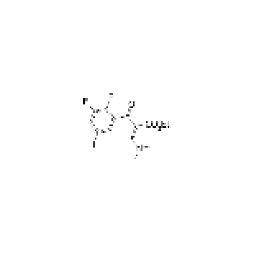 CCOC(=O)C(=CN(C)C)C(=O)c1cc(I)cc(F)c1F